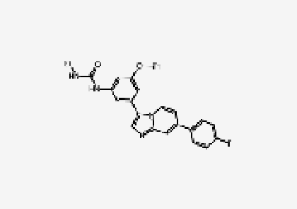 CCNC(=O)Nc1cc(OC(C)C)cc(-c2cnc3cc(-c4ccc(F)cc4)ccn23)c1